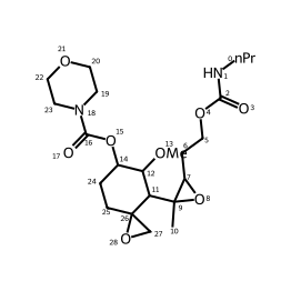 CCCNC(=O)OCCC1OC1(C)C1C(OC)C(OC(=O)N2CCOCC2)CCC12CO2